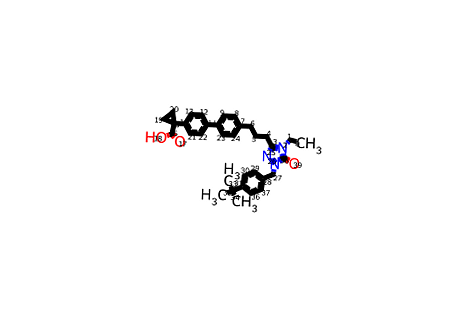 CCn1c(CCCc2ccc(-c3ccc(C4(C(=O)O)CC4)cc3)cc2)nn(Cc2ccc(C(C)(C)C)cc2)c1=O